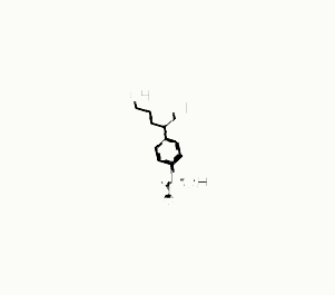 CCCCC(CC)c1ccc(P(O)N=O)cc1